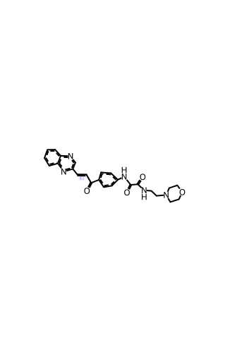 O=C(NCCN1CCOCC1)C(=O)Nc1ccc(C(=O)/C=C/c2cnc3ccccc3n2)cc1